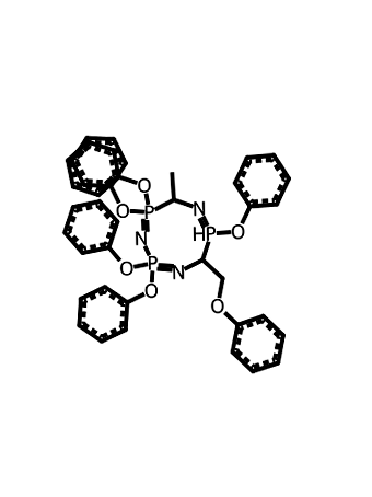 CC1/N=[PH](/Oc2ccccc2)C(COc2ccccc2)N=P(Oc2ccccc2)(Oc2ccccc2)N=P1(Oc1ccccc1)Oc1ccccc1